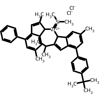 CC1=Cc2c(-c3ccccc3)cc(C)cc2[CH]1[Zr+2]([CH]1C(C(C)C)=Cc2c(-c3ccc(C(C)(C)C)cc3)cc(C)cc21)=[Si](C)C.[Cl-].[Cl-]